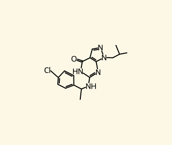 CC(C)Cn1ncc2c(=O)[nH]c(NC(C)c3ccc(Cl)cc3)nc21